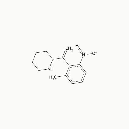 C=C(c1c(C)cccc1[N+](=O)[O-])C1CCCCN1